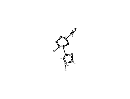 Cc1ccc(C#N)cc1-c1cnn(C)c1